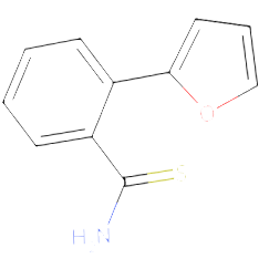 NC(=S)c1ccccc1-c1ccco1